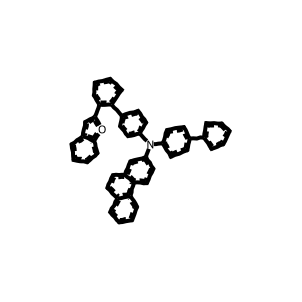 c1ccc(-c2ccc(N(c3ccc(-c4ccccc4-c4cc5ccccc5o4)cc3)c3ccc4c(ccc5ccccc54)c3)cc2)cc1